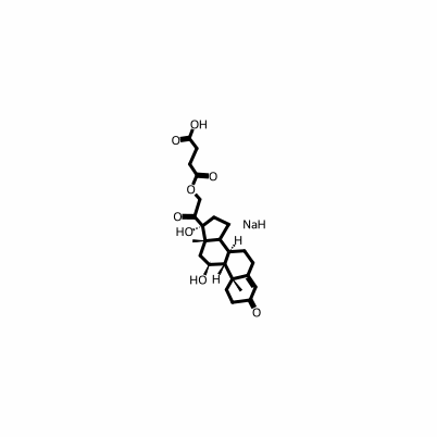 C[C@]12CCC(=O)C=C1CC[C@@H]1C3CC[C@](O)(C(=O)COC(=O)CCC(=O)O)[C@@]3(C)C[C@H](O)[C@H]12.[NaH]